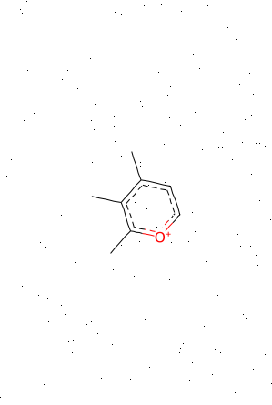 Cc1cc[o+]c(C)c1C